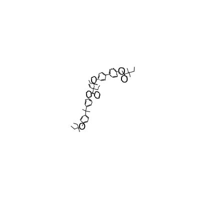 C=CC(CC)(C(=O)Oc1ccc(C(C)(C)c2ccc(OC(C)(CC)CC)cc2)cc1)C(C)(CC)Oc1ccc(-c2ccc(OC(=O)C(C)(C)CC)cc2)cc1